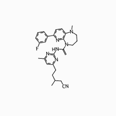 C=C(Nc1nc(C)cc(CCC(C)CC#N)n1)N1CCCN(C)c2ccc(-c3cccc(F)c3)nc21